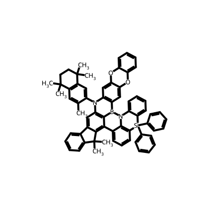 Cc1cc2c(cc1N1c3cc4c(cc3B3c5c1cc1c(c5-c5cccc6c5N3c3ccccc3[Si]6(c3ccccc3)c3ccccc3)C(C)(C)c3ccccc3-1)Oc1ccccc1O4)C(C)(C)CCC2(C)C